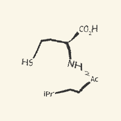 CC(=O)CC(C)C.N[C@@H](CS)C(=O)O